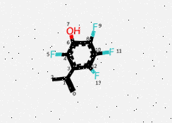 C=C(C)c1c(F)c(O)c(F)c(F)c1F